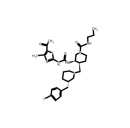 CCCNC(=O)N1CC[C@@H](CN2CCC[C@@H](Cc3ccc(F)cc3)C2)[C@@H](NC(=O)Nc2nc(C)c(C(C)=O)s2)C1